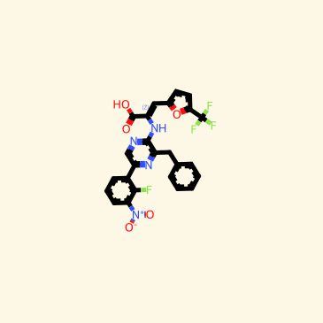 O=C(O)/C(=C/c1ccc(C(F)(F)F)o1)Nc1ncc(-c2cccc([N+](=O)[O-])c2F)nc1Cc1ccccc1